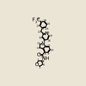 O=C(N[C@H]1CCOC1)c1cccc2c1CCN2c1ccnc(Cc2cccc(C(F)(F)F)c2)c1